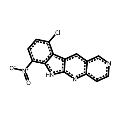 O=[N+]([O-])c1ccc(Cl)c2c1[nH]c1nc3ccncc3cc12